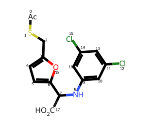 CC(=O)SCc1ccc(C(Nc2cc(Cl)cc(Cl)c2)C(=O)O)o1